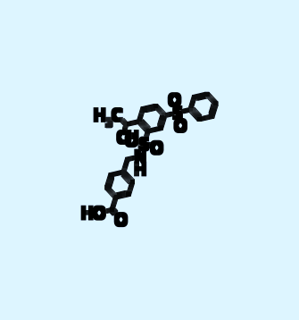 CC(C)c1ccc(S(=O)(=O)c2ccccc2)cc1S(=O)(=O)NCc1ccc(C(=O)O)cc1